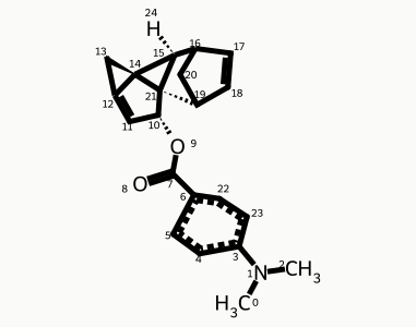 CN(C)c1ccc(C(=O)O[C@@H]2C=C3C[C@]34[C@H]3C5C=CC(C5)[C@@]234)cc1